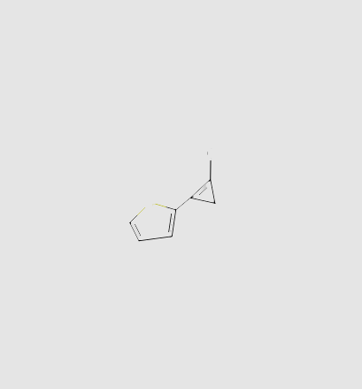 CC1=C(c2cccs2)C1